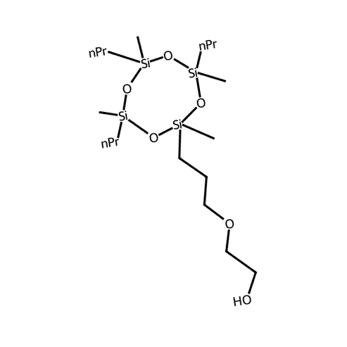 CCC[Si]1(C)O[Si](C)(CCC)O[Si](C)(CCCOCCO)O[Si](C)(CCC)O1